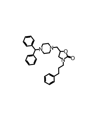 O=C1OC(CN2CCN(C(c3ccccc3)c3ccccc3)CC2)CN1CCCc1ccccc1